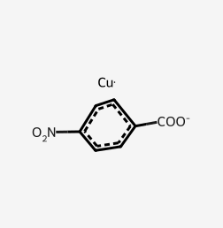 O=C([O-])c1ccc([N+](=O)[O-])cc1.[Cu]